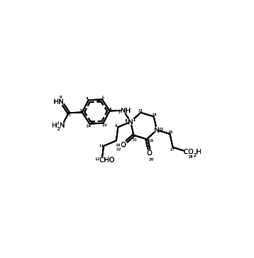 N=C(N)c1ccc(N[N+]2(CCCC=O)CCN(CCC(=O)O)C(=O)C2=O)cc1